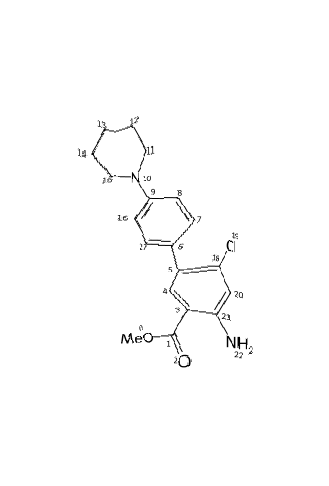 COC(=O)c1cc(-c2ccc(N3CCCCC3)cc2)c(Cl)cc1N